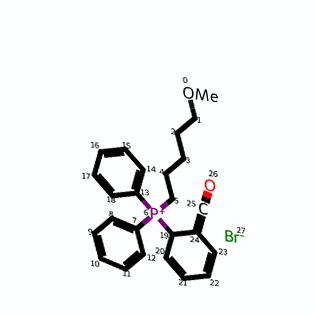 COCCCCC[P+](c1ccccc1)(c1ccccc1)C1C=CC=CC1=C=O.[Br-]